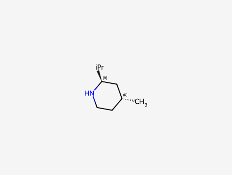 CC(C)[C@H]1C[C@H](C)CCN1